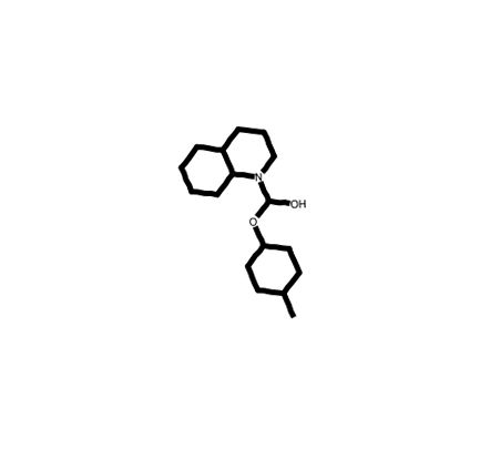 CC1CCC(OC(O)N2CCCC3CCCCC32)CC1